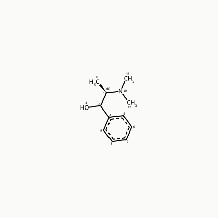 C[C@H](C(O)c1ccccc1)N(C)C